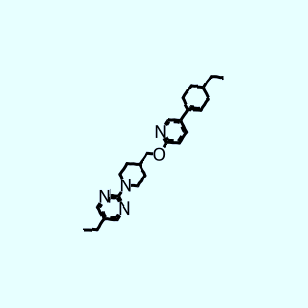 CCc1cnc(N2CCC(COc3ccc(C4=CCC(CC)CC4)cn3)CC2)nc1